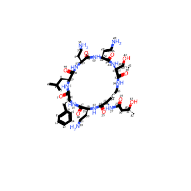 CC(C)C[C@@H]1NC(=O)[C@@H](Cc2ccccc2)NC(=O)[C@H](CCN)NC(=O)[C@@H](NC(=O)C[C@@H](C)O)CCNC(=O)[C@H]([C@@H](C)O)NC(=O)[C@H](CCN)NC(=O)[C@H](CCN)NC1=O